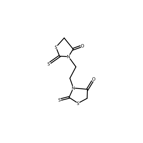 O=C1CSC(=S)N1CCN1C(=O)CSC1=S